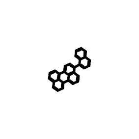 c1ccc2c(-c3ccc4c5cccc6cccc(c7cccc3c74)c65)cccc2c1